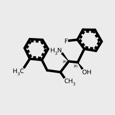 Cc1ccccc1CC(C)[C@@H](N)[C@H](O)c1ccccc1F